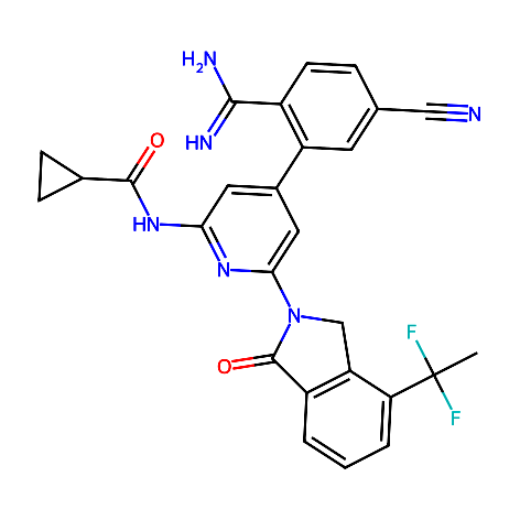 CC(F)(F)c1cccc2c1CN(c1cc(-c3cc(C#N)ccc3C(=N)N)cc(NC(=O)C3CC3)n1)C2=O